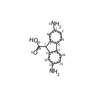 Nc1ccc2c(c1)C(C(=O)O)c1cc(N)ccc1-2